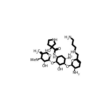 C=C1CO[C@H](O[C@@H]2[C@@H](O)[C@H](O[C@H]3OC(CNCCCN)=CC[C@H]3N)[C@@H](N)C[C@H]2NC(=O)C2(O)CCNC2)[C@H](O)[C@H]1NC